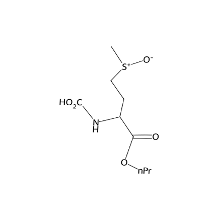 CCCOC(=O)C(CC[S+](C)[O-])NC(=O)O